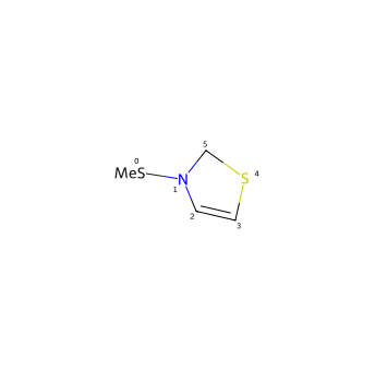 CSN1C=CSC1